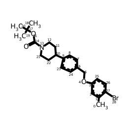 Cc1cc(OCc2ccc(C3CCN(C(=O)OC(C)(C)C)CC3)cc2)ccc1Br